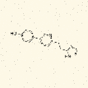 Oc1ccc(-c2ccc(CCc3ncc[nH]3)nc2)cc1